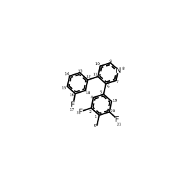 Cc1c(F)cc(-c2cnccc2-c2cccc(F)c2)cc1F